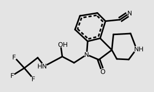 N#Cc1cccc2c1C1(CCNCC1)C(=O)N2CC(O)NCC(F)(F)F